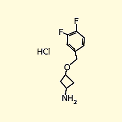 Cl.NC1CC(OCc2ccc(F)c(F)c2)C1